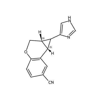 N#Cc1ccc2c(c1)[C@H]1C(c3c[nH]cn3)[C@H]1CO2